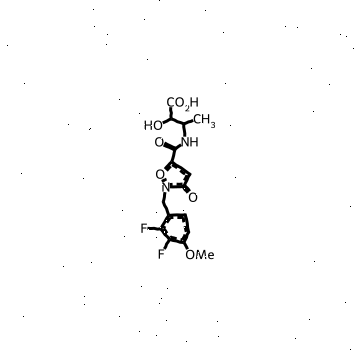 COc1ccc(Cn2oc(C(=O)NC(C)C(O)C(=O)O)cc2=O)c(F)c1F